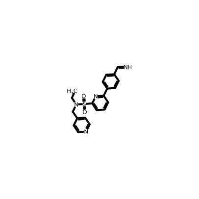 CCN(Cc1ccncc1)S(=O)(=O)c1cccc(-c2ccc(C=N)cc2)n1